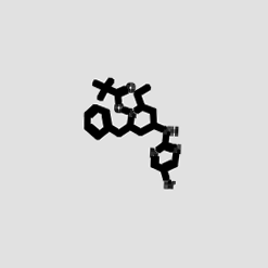 CCC1CC(Nc2ncc(Br)cn2)CC(Cc2ccccc2)N1OC(=O)C(C)(C)C